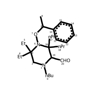 CCCCN1CC(CC)(CC)N(OC(C)c2ccccc2)C(CCC)(CCC)C1C=O